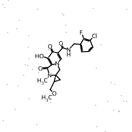 COCC1CC12Cn1cc(C(=O)NCc3cccc(Cl)c3F)c(=O)c(O)c1C(=O)N2C